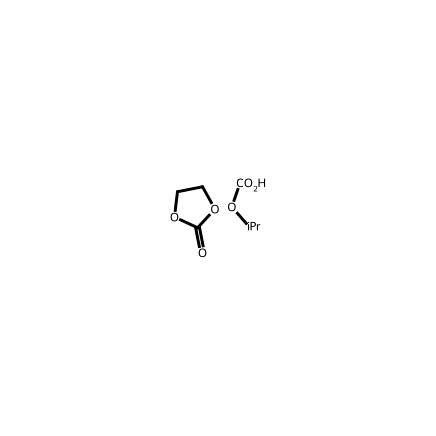 CC(C)OC(=O)O.O=C1OCCO1